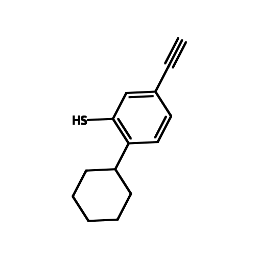 C#Cc1ccc(C2CCCCC2)c(S)c1